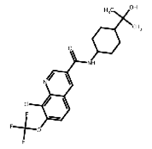 CC(C)(O)C1CCC(NC(=O)c2cnc3c(Cl)c(OC(F)(F)F)ccc3c2)CC1